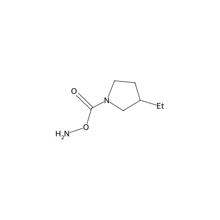 CCC1CCN(C(=O)ON)C1